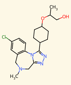 CC(CO)OC1CCC(c2nnc3n2-c2ccc(Cl)cc2CN(C)C3)CC1